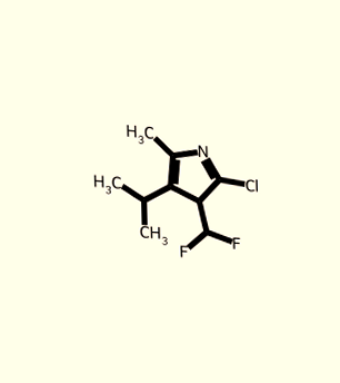 CC1=C(C(C)C)C(C(F)F)C(Cl)=N1